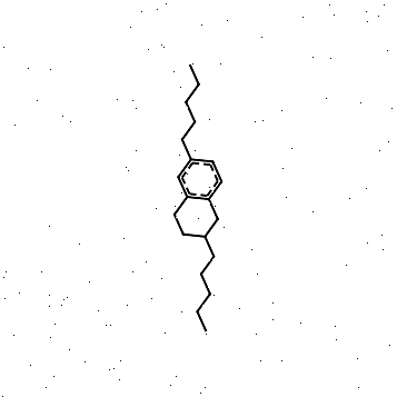 CCCCCc1ccc2c(c1)CCC(CCCCC)C2